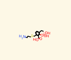 NCCCSCc1ccc2c(c1C(=O)O)O[B-](O)(O)CC2